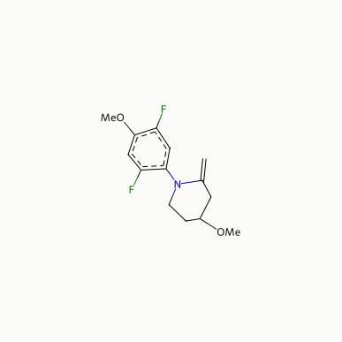 C=C1CC(OC)CCN1c1cc(F)c(OC)cc1F